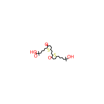 CC(C)(CO)CCCCC1CCC(=O)C(CCC2CCC(=O)C(CCCCC(C)(C)C(=O)O)S2)S1